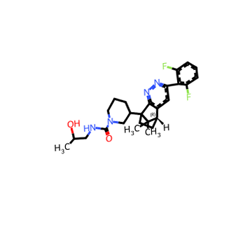 CC(O)CNC(=O)N1CCCC(C23CC[C@@H](c4cc(-c5c(F)cccc5F)nnc42)C3(C)C)C1